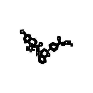 COC(=O)c1ccc([C@H]2C[C@@H](NC(=O)[C@@]3(C)CCc4cc(Cl)ccc4O3)c3ccccc3O2)cc1